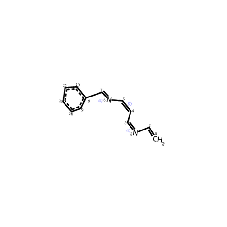 C=C\N=C/C=C\N=C\c1ccccc1